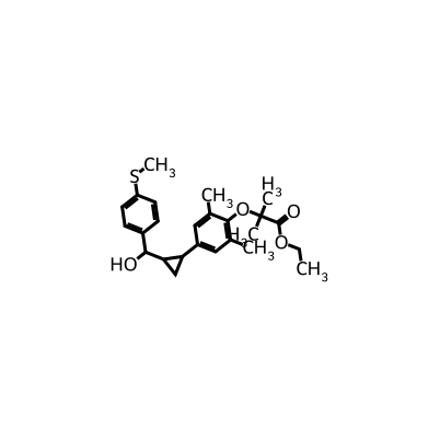 CCOC(=O)C(C)(C)Oc1c(C)cc(C2CC2C(O)c2ccc(SC)cc2)cc1C